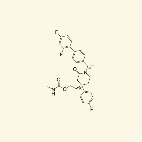 CNC(=O)OCC[C@]1(c2ccc(F)cc2)CCN([C@@H](C)c2ccc(-c3ccc(F)cc3F)cc2)C(=O)C1